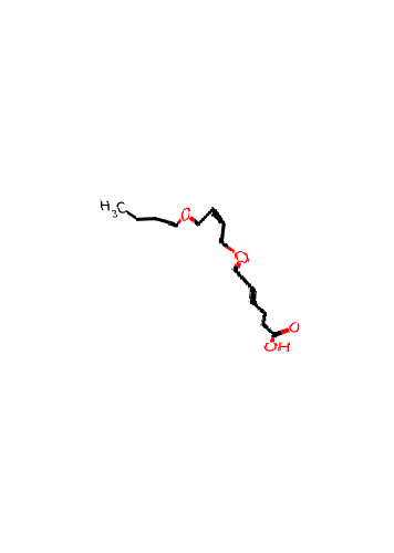 CCCCOC/C=C\COCCCCCC(=O)O